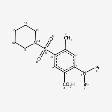 Cc1cc(N(C(C)C)C(C)C)c(C(=O)O)cc1S(=O)(=O)N1CCCCC1